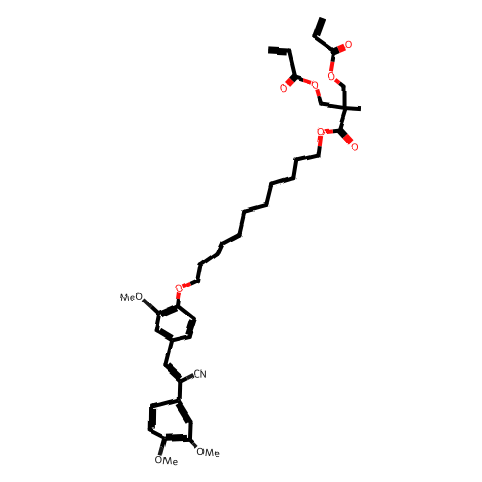 C=CC(=O)OCC(C)(COC(=O)C=C)C(=O)OCCCCCCCCCCCOc1ccc(/C=C(\C#N)c2ccc(OC)c(OC)c2)cc1OC